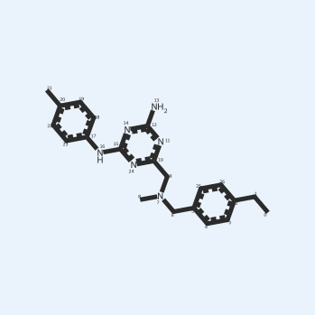 CCc1ccc(CN(C)Cc2nc(N)nc(Nc3ccc(C)cc3)n2)cc1